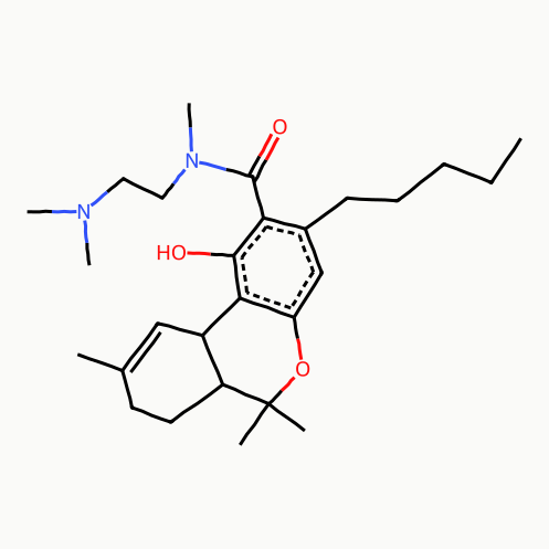 CCCCCc1cc2c(c(O)c1C(=O)N(C)CCN(C)C)C1C=C(C)CCC1C(C)(C)O2